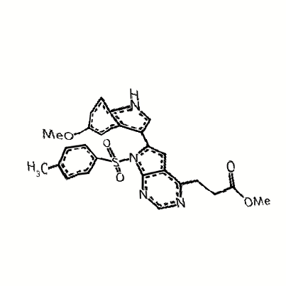 COC(=O)CCc1ncnc2c1cc(-c1c[nH]c3ccc(OC)cc13)n2S(=O)(=O)c1ccc(C)cc1